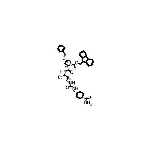 CC[C@@H](/C=N/NC(=O)NC[C@H]1CC[C@H](C(N)=O)CC1)NC(=O)[C@@H]1C[C@@H](OCc2ccccc2)CN1C(=O)OCC1c2ccccc2-c2ccccc21